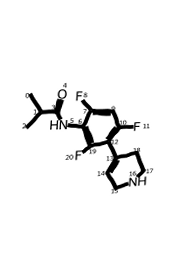 CC(C)C(=O)Nc1c(F)cc(F)c(C2=CCNCC2)c1F